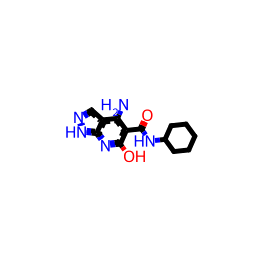 Nc1c(C(=O)NC2CCCCC2)c(O)nc2[nH]ncc12